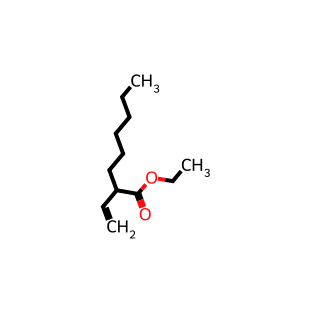 C=CC(CCCCCC)C(=O)OCC